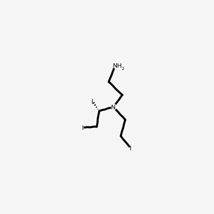 NCCN(CCI)[C@@H](I)CI